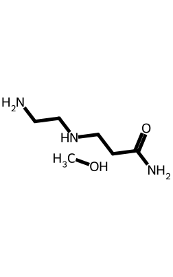 CO.NCCNCCC(N)=O